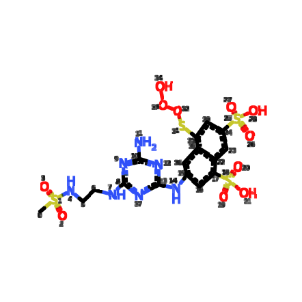 CS(=O)(=O)NCCNc1nc(N)nc(Nc2cc(S(=O)(=O)O)c3cc(S(=O)(=O)O)cc(SOOO)c3c2)n1